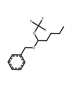 CCCCC(OCc1ccccc1)OC(F)(F)F